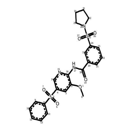 COc1cc(S(=O)(=O)c2ccccc2)cnc1NC(=O)c1cccc(S(=O)(=O)N2CCCC2)c1